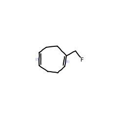 FC/C1=C/CC/C=C\CC1